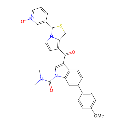 COc1ccc(-c2ccc3c(C(=O)c4ccn5c4CSC5c4ccc[n+]([O-])c4)cn(C(=O)N(C)C)c3c2)cc1